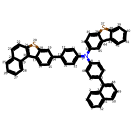 c1ccc2c(-c3ccc(N(c4ccc(-c5ccc6c(c5)sc5ccc7ccccc7c56)cc4)c4ccc5sc6ccccc6c5c4)cc3)cccc2c1